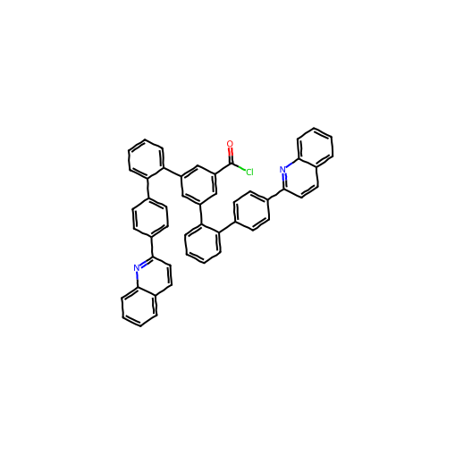 O=C(Cl)c1cc(-c2ccccc2-c2ccc(-c3ccc4ccccc4n3)cc2)cc(-c2ccccc2-c2ccc(-c3ccc4ccccc4n3)cc2)c1